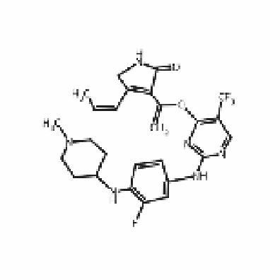 C=C(Oc1nc(Nc2ccc(NC3CCN(C)CC3)c(F)c2)ncc1C(F)(F)F)C1=C(/C=C\C)CNC1=O